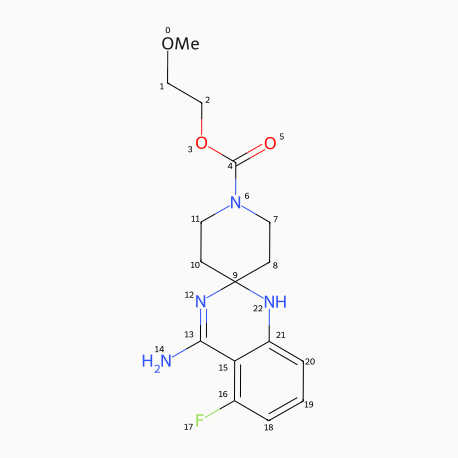 COCCOC(=O)N1CCC2(CC1)N=C(N)c1c(F)cccc1N2